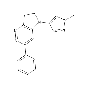 Cn1cc(N2CCc3nnc(-c4ccccc4)cc32)cn1